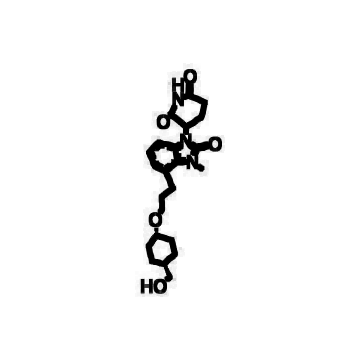 Cn1c(=O)n(C2CCC(=O)NC2=O)c2cccc(CCCO[C@H]3CC[C@H](CO)CC3)c21